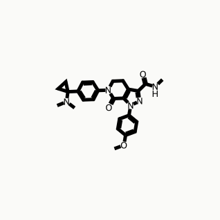 CNC(=O)c1nn(-c2ccc(OC)cc2)c2c1CCN(c1ccc(C3(N(C)C)CC3)cc1)C2=O